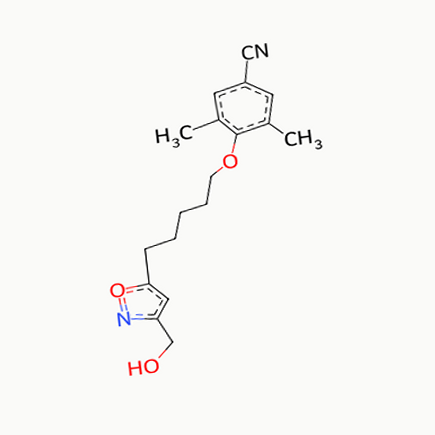 Cc1cc(C#N)cc(C)c1OCCCCCc1cc(CO)no1